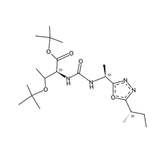 CC[C@H](C)c1nnc([C@H](C)NC(=O)N[C@H](C(=O)OC(C)(C)C)C(C)OC(C)(C)C)o1